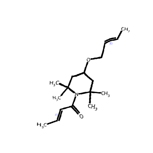 C/C=C/COC1CC(C)(C)N(C(=O)/C=C/C)C(C)(C)C1